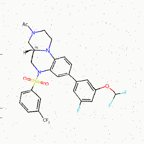 CC(=O)N1CCN2c3ccc(-c4cc(F)cc(OC(F)F)c4)cc3N(S(=O)(=O)c3cccc(C(F)(F)F)c3)C[C@@H]2C1